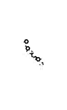 Cc1cc(Oc2ccccc2F)ccc1-n1ncc(C(=O)c2cc3cc(F)c(N4C(=O)CNC4=O)cc3[nH]2)c1N